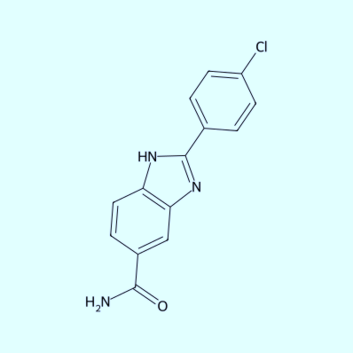 NC(=O)c1ccc2[nH]c(-c3ccc(Cl)cc3)nc2c1